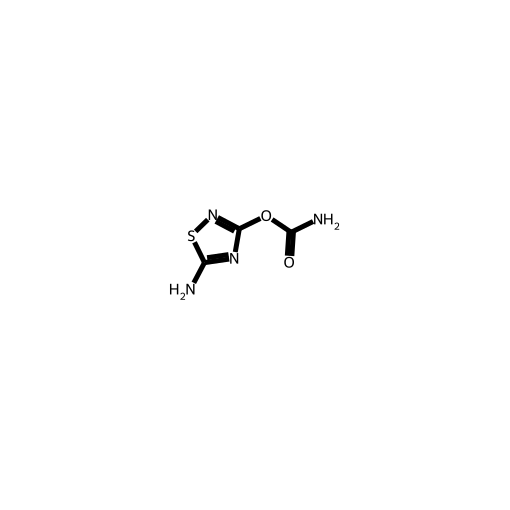 NC(=O)Oc1nsc(N)n1